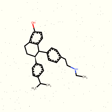 CCNCCc1ccc(C2c3ccc(O)cc3CC[C@@H]2c2ccc(C(C)C)cc2)cc1